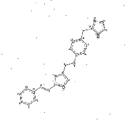 C(=Cc1nc(COc2ccc(Cc3ncc[nH]3)cc2)co1)c1ccccc1